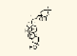 C[C@H](CCC1(O)CCC(C)(C)CC1)[C@H]1CC[C@H]2[C@@H]3CC=C4C[C@@](C)(O)CC[C@]4(C)[C@H]3CC[C@]12C